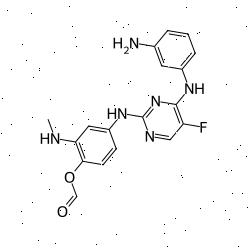 CNc1cc(Nc2ncc(F)c(Nc3cccc(N)c3)n2)ccc1OC=O